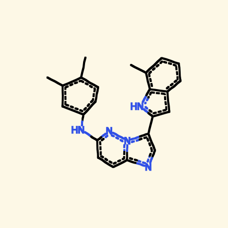 Cc1ccc(Nc2ccc3ncc(-c4cc5cccc(C)c5[nH]4)n3n2)cc1C